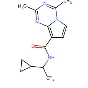 Cc1nc(C)n2ccc(C(=O)NC(C3CC3)C(F)(F)F)c2n1